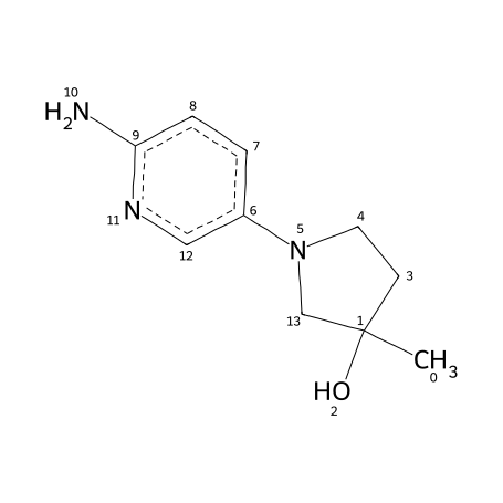 CC1(O)CCN(c2ccc(N)nc2)C1